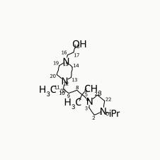 CC(C)N1CCN(C(C)(C)CC[C@H](C)N2CCN(CCO)CC2)CC1